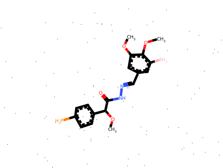 Bc1cc(/C=N/NC(=O)C(OC)c2ccc(P)cc2)cc(OC)c1OC